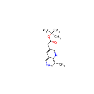 Cc1cncc2cc(CC(=O)OC(C)(C)C)cnc12